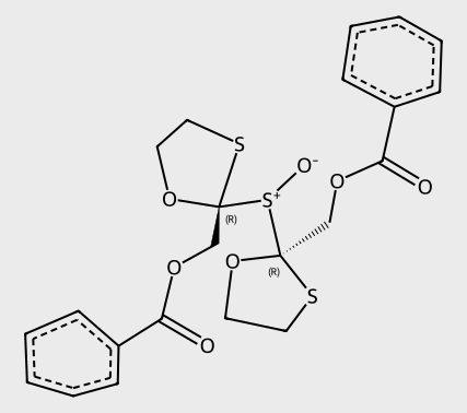 O=C(OC[C@@]1([S+]([O-])[C@]2(COC(=O)c3ccccc3)OCCS2)OCCS1)c1ccccc1